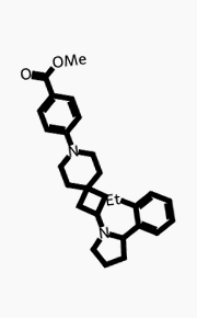 CCc1ccccc1C1CCCN1C1CC2(CCN(c3ccc(C(=O)OC)cc3)CC2)C1